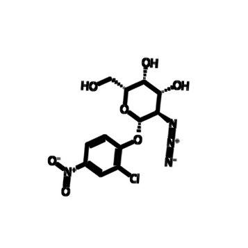 [N-]=[N+]=N[C@H]1[C@H](Oc2ccc([N+](=O)[O-])cc2Cl)O[C@H](CO)[C@H](O)[C@@H]1O